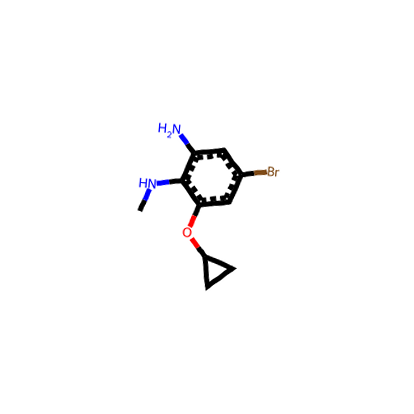 CNc1c(N)cc(Br)cc1OC1CC1